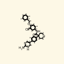 NC1=NC=C(c2ccc(C3(C(=O)Nc4ccc(OCc5ccccc5)c(Cl)c4)CCOCC3)cc2)CN1